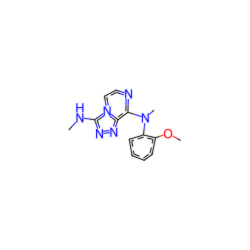 CNc1nnc2c(N(C)c3ccccc3OC)nccn12